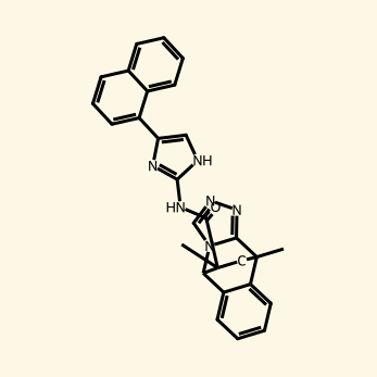 CC12CC(C)(C(=O)Nc3nc(-c4cccc5ccccc45)c[nH]3)C(c3ccccc31)n1cnnc12